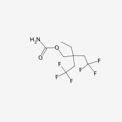 CCC(COC(N)=O)(CC(F)(F)F)CC(F)(F)F